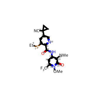 CCSc1cc(C2(C#N)CC2)cnc1C(=O)Nc1cc(C(F)(F)F)n(OC)c(=O)c1NC